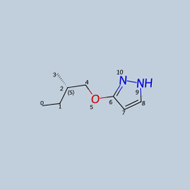 CC[C@H](C)COc1cc[nH]n1